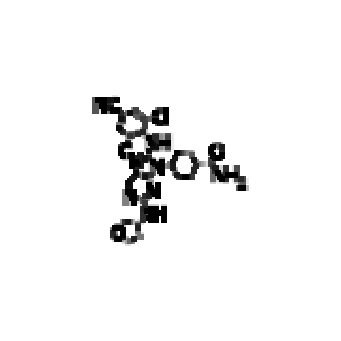 N#Cc1cc(Cl)c(Nc2nc3cnc(N[C@@H]4CCOC4)nc3n2C2CCC(C(N)=O)CC2)c(Cl)c1